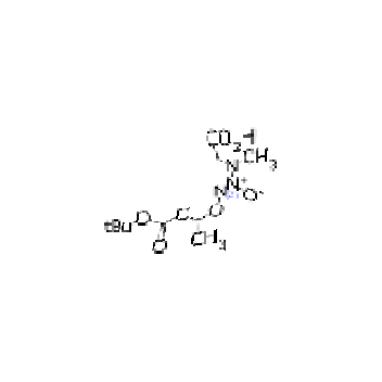 CC(O/N=[N+](\[O-])N(C)CC(=O)O)OC(=O)OC(C)(C)C